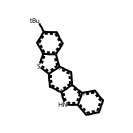 CC(C)(C)c1ccc2c(c1)sc1cc3[nH]c4ccccc4c3cc12